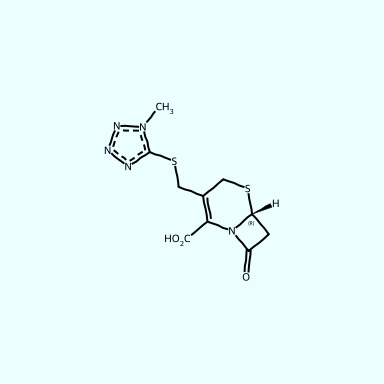 Cn1nnnc1SCC1=C(C(=O)O)N2C(=O)C[C@H]2SC1